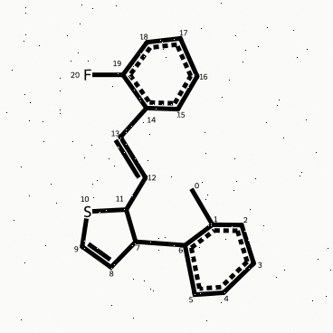 Cc1ccccc1C1C=CSC1C=Cc1ccccc1F